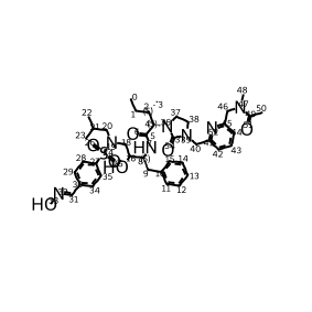 CC[C@H](C)[C@@H](C(=O)N[C@@H](Cc1ccccc1)C(O)CN(CC(C)C)S(=O)(=O)c1ccc(C=NO)cc1)N1CCN(Cc2cccc(CN(C)C(C)=O)n2)C1=O